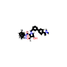 C=C(c1ccc(-c2cccc(CN3C[C@H](O)[C@@H]([C@H](C)O)[C@H]3C(=O)NC3C[C@H]4C[C@@H]([C@@H]3C)C4(C)C)c2)cc1)N(C)C